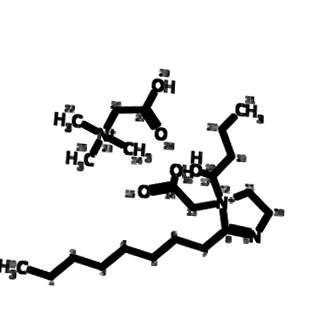 CCCCCCCCC1=NCC[N+]1(CC(=O)O)C(O)CCC.C[N+](C)(C)CC(=O)O